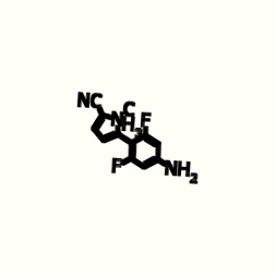 Cn1c(C#N)ccc1-c1c(F)cc(N)cc1F